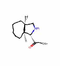 COC(=O)[C@H]1NC[C@@H]2CCCC[C@@H]21